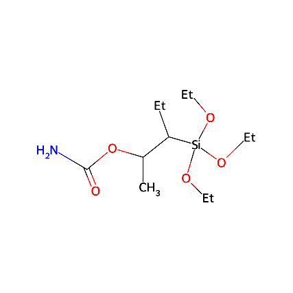 CCO[Si](OCC)(OCC)C(CC)C(C)OC(N)=O